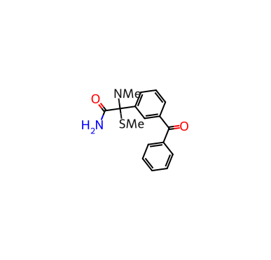 CNC(SC)(C(N)=O)c1cccc(C(=O)c2ccccc2)c1